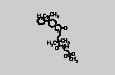 CN(C)C1(c2ccccc2)CCC2(CC1)CC(=O)N(CCC(C)(C)C(=O)NCCS(C)(=O)=O)C2